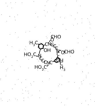 Cc1cc2c(O)c(c1)CN(CC(=O)O)CCCN(CC(=O)O)Cc1cc(C)cc(c1O)CN(COC=O)CCCN(COC=O)C2